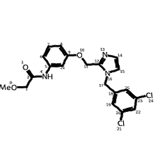 COCC(=O)Nc1cccc(OCc2nccn2Cc2cc(Cl)cc(Cl)c2)c1